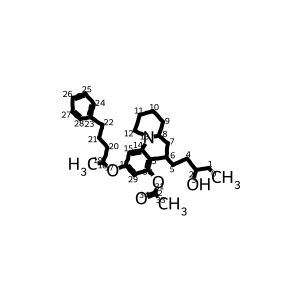 CCC(O)CCC1CC2CCCCN2c2cc(OC(C)CCCc3ccccc3)cc(OC(C)=O)c21